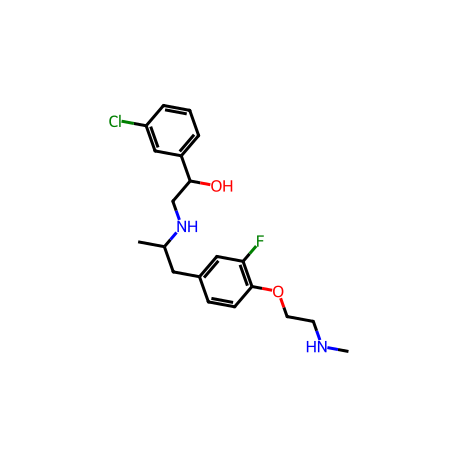 CNCCOc1ccc(CC(C)NCC(O)c2cccc(Cl)c2)cc1F